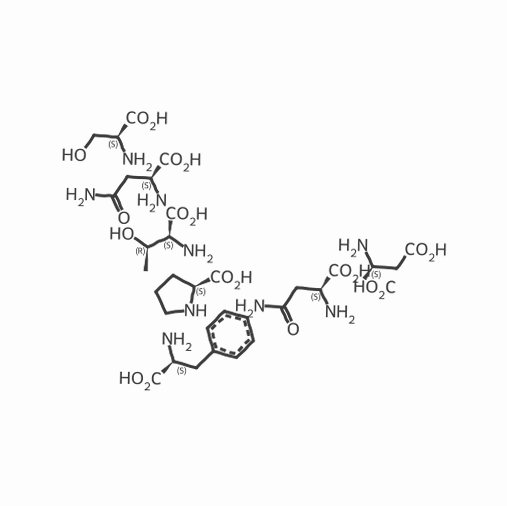 C[C@@H](O)[C@H](N)C(=O)O.NC(=O)C[C@H](N)C(=O)O.NC(=O)C[C@H](N)C(=O)O.N[C@@H](CC(=O)O)C(=O)O.N[C@@H](CO)C(=O)O.N[C@@H](Cc1ccccc1)C(=O)O.O=C(O)[C@@H]1CCCN1